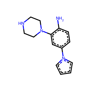 Nc1ccc(-n2cccc2)cc1N1CCNCC1